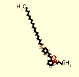 CCCCCCCCCCCCCCCCCCCCSc1ccc(C=CC(=O)c2ccccc2OCCCC)cc1